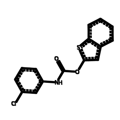 O=C(Nc1cccc(Cl)c1)Oc1cc2ccccc2s1